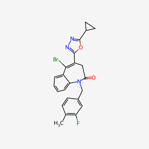 Cc1ccc(CN2C(=O)CC(c3nnc(C4CC4)o3)=C(Br)c3ccccc32)cc1F